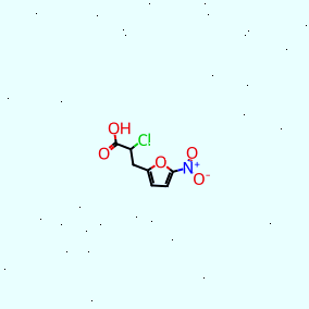 O=C(O)C(Cl)Cc1ccc([N+](=O)[O-])o1